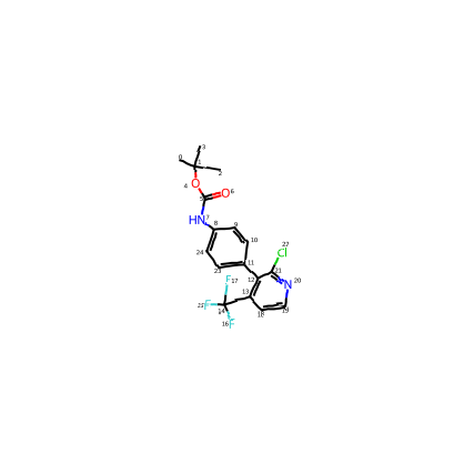 CC(C)(C)OC(=O)Nc1ccc(-c2c(C(F)(F)F)ccnc2Cl)cc1